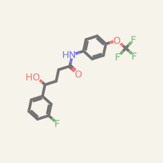 O=C(CCC(O)c1cccc(F)c1)Nc1ccc(OC(F)(F)F)cc1